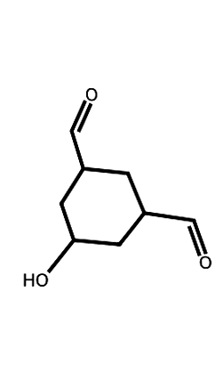 O=CC1CC(O)CC(C=O)C1